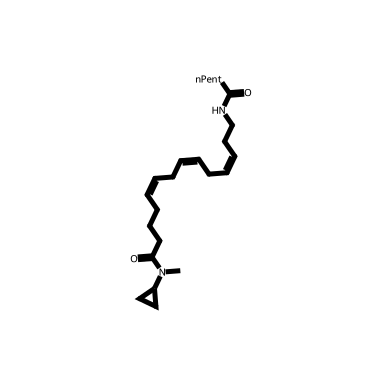 CCCCCC(=O)NCC/C=C\C/C=C\C/C=C\CCCC(=O)N(C)C1CC1